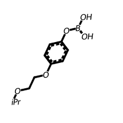 CC(C)OCCOc1ccc(OB(O)O)cc1